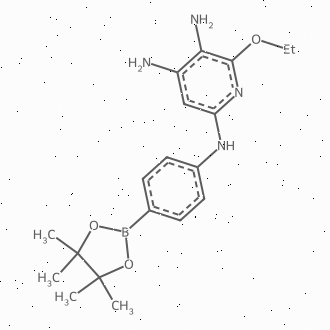 CCOc1nc(Nc2ccc(B3OC(C)(C)C(C)(C)O3)cc2)cc(N)c1N